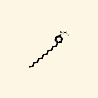 CCCCCCCCCCCCc1ccc([SiH3])cc1